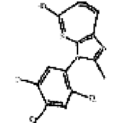 Cc1nc2ccc(O)nc2n1-c1cc(Cl)c(Cl)cc1Cl